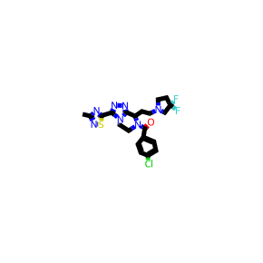 Cc1nsc(-c2nnc3n2CCN(C(=O)c2ccc(Cl)cc2)C3CCN2CCC(F)(F)C2)n1